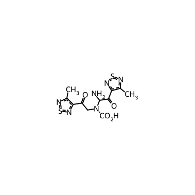 Cc1nsnc1C(=O)CN(C(=O)O)C(N)C(=O)c1nsnc1C